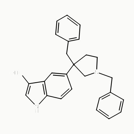 O=Cc1c[nH]c2ccc(C3(Cc4ccccc4)CCN(Cc4ccccc4)C3)cc12